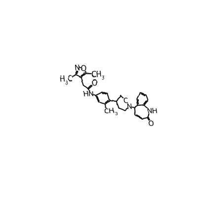 Cc1cc(NC(=O)Cc2c(C)noc2C)ccc1C1CCN(C2C=CC(=O)Nc3ccccc32)CC1